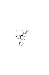 CC1(C)Cc2c(N3CCCC3)nc3sc(C(N)=O)c(N)c3c2C1